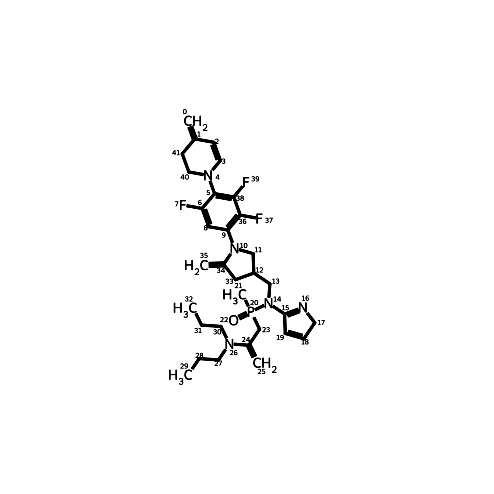 C=C1C=CN(c2c(F)cc(N3CC(CN(C4=NCC=C4)P(C)(=O)CC(=C)N(CCC)CCC)CC3=C)c(F)c2F)CC1